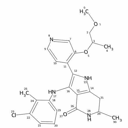 COCC(C)Oc1cnccc1-c1[nH]c2c(c1Nc1cccc(Cl)c1C)C(=O)NC(C)C2